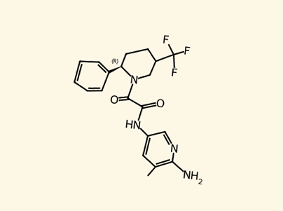 Cc1cc(NC(=O)C(=O)N2CC(C(F)(F)F)CC[C@@H]2c2ccccc2)cnc1N